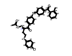 CC(=O)O/N=C(\CCSc1ccc(Cl)cc1)C(=O)c1ccc(Sc2ccc(C(=O)c3ccccc3C)cc2)cc1